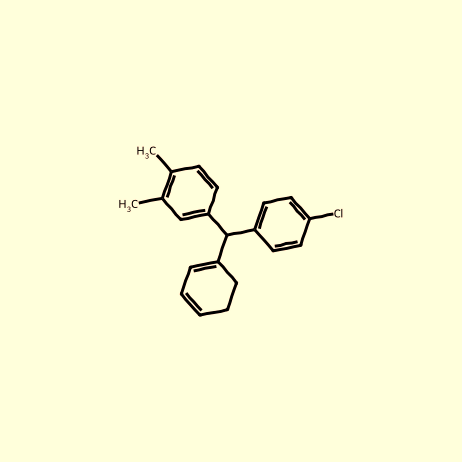 Cc1ccc(C(C2=CC=CCC2)c2ccc(Cl)cc2)cc1C